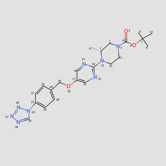 C[C@@H]1CN(C(=O)OC(C)(C)C)CCN1c1ncc(OCc2ccc(-n3cnnn3)cc2)cn1